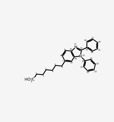 O=C(O)CCCCCCc1ccc2nc(-c3ccccc3)n(-c3ccccc3)c2c1